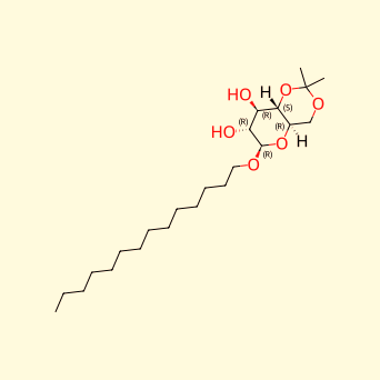 CCCCCCCCCCCCCCO[C@@H]1O[C@@H]2COC(C)(C)O[C@H]2[C@H](O)[C@H]1O